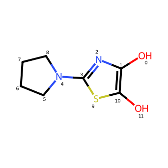 Oc1nc(N2CCCC2)sc1O